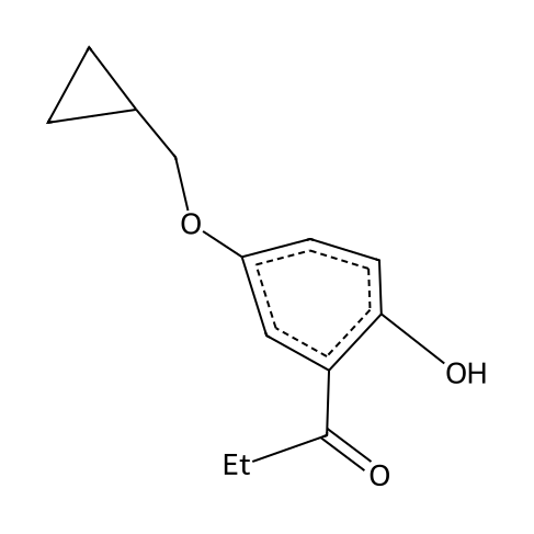 CCC(=O)c1cc(OCC2CC2)ccc1O